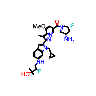 COc1cc(C(=O)N2C[C@H](N)C[C@@H](F)C2)cn2nc(-c3cc4ccc(NC[C@@H](F)C(C)(C)O)cc4n3CC3CC3)c(C)c12